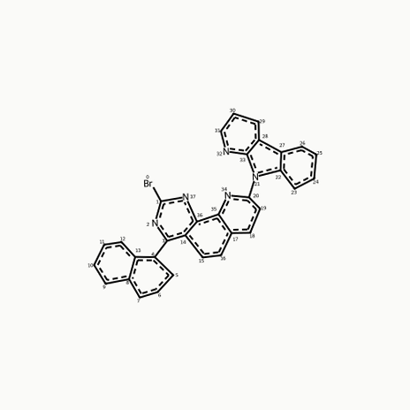 Brc1nc(-c2cccc3ccccc23)c2ccc3ccc(-n4c5ccccc5c5cccnc54)nc3c2n1